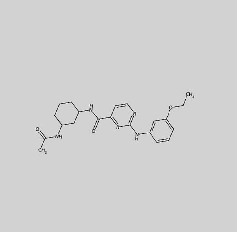 CCOc1cccc(Nc2nccc(C(=O)NC3CCCC(NC(C)=O)C3)n2)c1